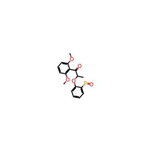 COc1cccc(OC)c1C(=O)C(C)Oc1ccccc1P=O